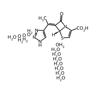 C/C(=C1\C(=O)N2C(C(=O)O)=CS[C@H]12)c1c[nH]nn1.O.O.O.O.O.O.O.O.O.O.O.O